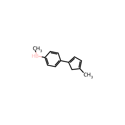 CBc1ccc(C2=CC=C(C)C2)cc1